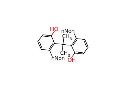 CCCCCCCCCc1cccc(O)c1C(C)(C)c1c(O)cccc1CCCCCCCCC